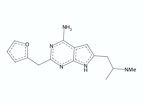 CNC(C)Cc1cc2c(N)nc(Cc3ccco3)nc2[nH]1